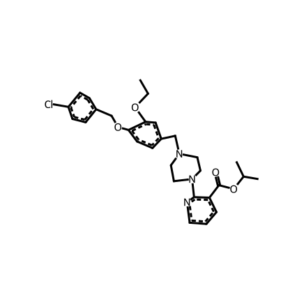 CCOc1cc(CN2CCN(c3ncccc3C(=O)OC(C)C)CC2)ccc1OCc1ccc(Cl)cc1